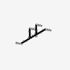 COCCOCCOCCOCC(COP=NPOCC(COCCOCCOCCOC)OCCOCCOCCOC)OCCOCCOCCOC